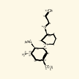 CC(=O)N[C@H]1[C@H](N2CCC[C@H](OCCO)C2)C=C(C(=O)O)C[C@@H]1N